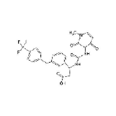 CN1C=CC(=O)C(NC(=O)NC(CC(=O)O)c2cccc(Cc3ccc(C(F)(F)F)cc3)c2)C1=O